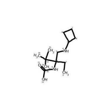 CCC(CNC1CCC1)(NC(=O)O)C(C)(C)C